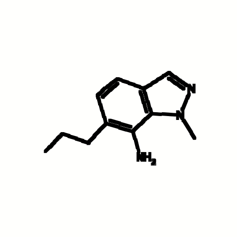 CCCc1ccc2cnn(C)c2c1N